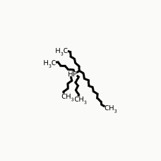 CCCCCCCCCCCC(CCCCCC)[PH](CCCCCC)(CCCCCC)CCCCCC